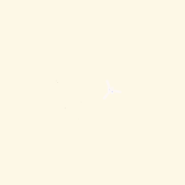 C=C(C)C1CCN(C(C)C)CC12CC2